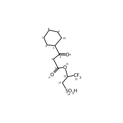 O=C(CC(=O)C1CCCCC1)OC(CS(=O)(=O)O)C(F)(F)F